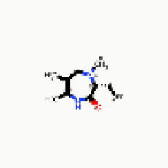 CC1=C(C)NC(=O)[C@@H](CC(C)C)N(C)C1